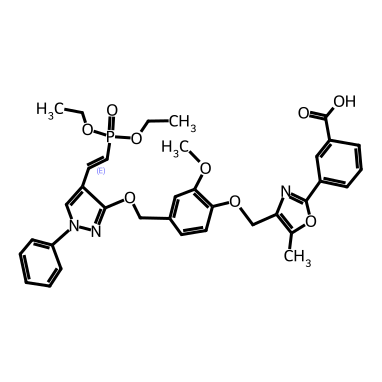 CCOP(=O)(/C=C/c1cn(-c2ccccc2)nc1OCc1ccc(OCc2nc(-c3cccc(C(=O)O)c3)oc2C)c(OC)c1)OCC